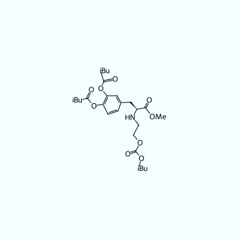 CCC(C)OC(=O)OCCN[C@@H](Cc1ccc(OC(=O)C(C)CC)c(OC(=O)C(C)CC)c1)C(=O)OC